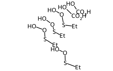 CCSOO.CCSOO.CCSOO.CCSOO.O=C(O)O.O=C(O)O